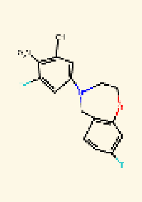 Cc1cc(N2CCOc3cc(F)ccc3C2)cc(F)c1[N+](=O)[O-]